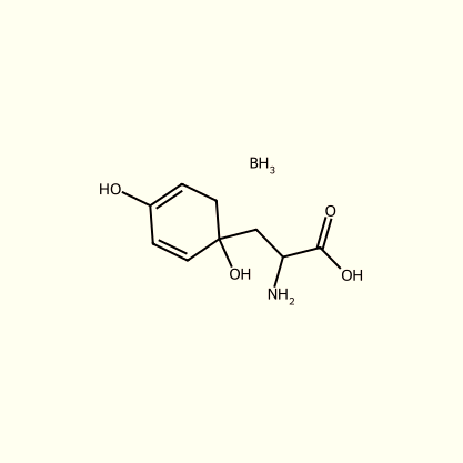 B.NC(CC1(O)C=CC(O)=CC1)C(=O)O